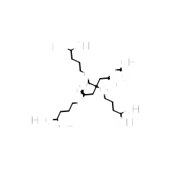 CC(=O)OC(=O)CC(CC(=O)OCCCC(C)C)(OCCCC(C)C)C(=O)OCCCC(C)C